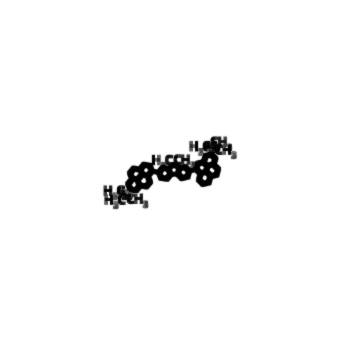 CC1(C)c2cc(-c3ccc4ccc5cc([Si](C)(C)C)cc6ccc3c4c56)ccc2-c2ccc(-c3cc4cc([Si](C)(C)C)cc5ccc6cccc3c6c54)cc21